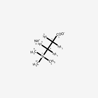 [2H]C([2H])(C(=O)[O-])C([2H])([2H])[Si](C)(C)C.[Na+]